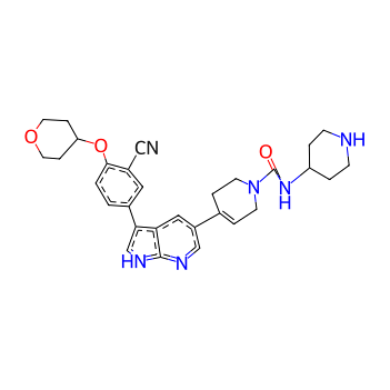 N#Cc1cc(-c2c[nH]c3ncc(C4=CCN(C(=O)NC5CCNCC5)CC4)cc23)ccc1OC1CCOCC1